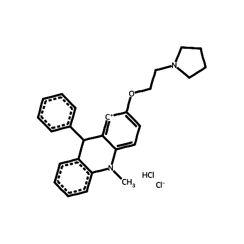 CN1C2=CC=C(OCCN3CCCC3)[C+]=C2C(c2ccccc2)c2ccccc21.Cl.[Cl-]